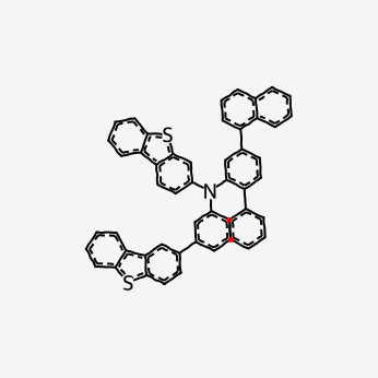 c1ccc(-c2ccc(-c3cccc4ccccc34)cc2N(c2cccc(-c3ccc4sc5ccccc5c4c3)c2)c2ccc3c(c2)sc2ccccc23)cc1